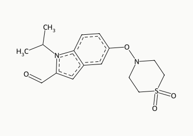 CC(C)n1c(C=O)cc2cc(ON3CCS(=O)(=O)CC3)ccc21